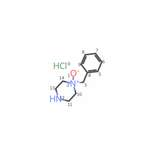 Cl.[O-][N+]1(Cc2ccccc2)CCNCC1